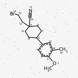 COc1ccc(C2CCC(C#N)(CCBr)CC2)cc1C